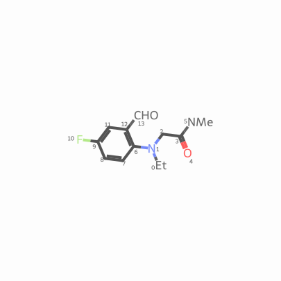 CCN(CC(=O)NC)c1ccc(F)cc1C=O